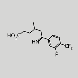 CC(CCC(=O)O)CC(=N)c1ccc(C(F)(F)F)c(F)c1